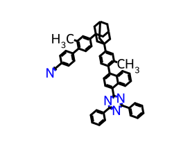 Cc1cc(C23CC4CC(C2)CC(c2ccc(-c5ccc(-c6nc(-c7ccccc7)nc(-c7ccccc7)n6)c6ccccc56)c(C)c2)(C4)C3)ccc1-c1ccc(C#N)cc1